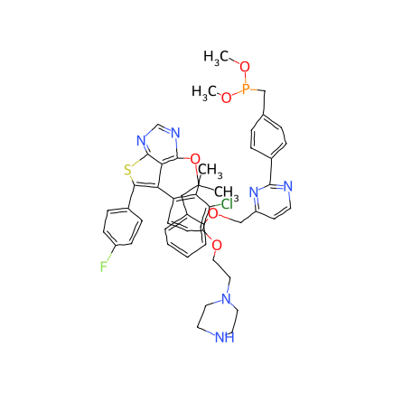 COP(Cc1ccc(-c2nccc(COc3ccccc3CC(C)Oc3ncnc4sc(-c5ccc(F)cc5)c(-c5ccc(OCCN6CCNCC6)c(Cl)c5C)c34)n2)cc1)OC